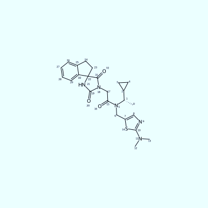 C[C@@H](C1CC1)N(Cc1cnc(N(C)C)s1)C(=O)CN1C(=O)NC2(CCc3ccccc32)C1=O